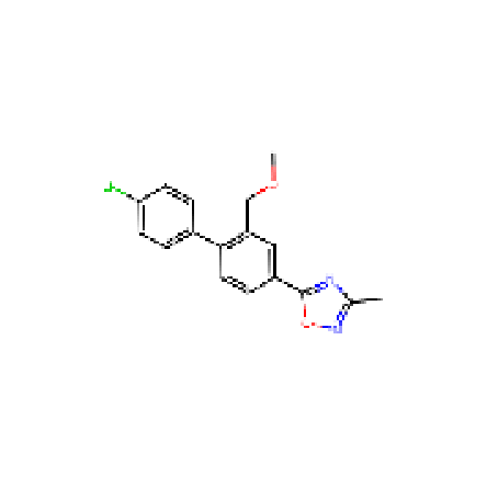 COCc1cc(-c2nc(C)no2)ccc1-c1ccc(Cl)cc1